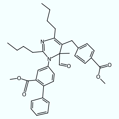 CCCCC1=NC(CCCC)=C(Cc2ccc(C(=O)OC)cc2)C(C)(C=O)N1c1ccc(-c2ccccc2)c(C(=O)OC)c1